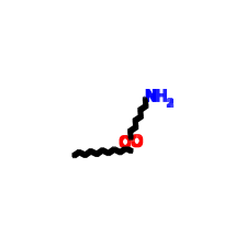 CCCCCCCCCC(C)OC(=O)CCCCCCCN